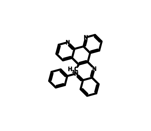 Cc1c(/N=C2/C=CC=C/C2=N\c2ccccc2)c2cccnc2c2ncccc12